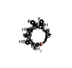 CC(=O)N[C@@H]1CCCC/C=C\CO[C@H]2C[C@@H](C(N)=O)N(C2)C(=O)[C@H](Cc2ccc(O)cc2)NC(=O)[C@H](Cc2cnc[nH]2)NC(=O)[C@H](CC(=O)O)NC(=O)[C@H](Cc2c[nH]c3ccc(F)cc23)NC(=O)[C@H](Cc2c[nH]c3ccc(F)cc23)NC(=O)CNC1=O